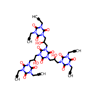 C#CCn1c(=O)n(CC#C)c(=O)n(CC(O)Cn2c(=O)n(CC(O)Cn3c(=O)n(CC#C)c(=O)n(CC#C)c3=O)c(=O)n(CC(O)Cn3c(=O)n(CC#C)c(=O)n(CC#C)c3=O)c2=O)c1=O